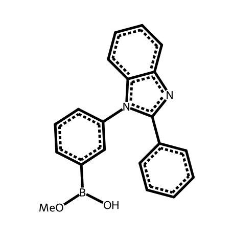 COB(O)c1cccc(-n2c(-c3ccccc3)nc3ccccc32)c1